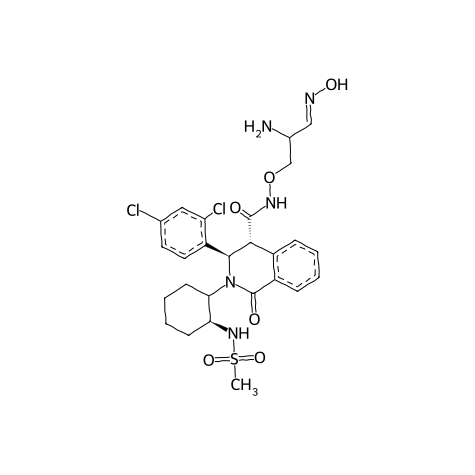 CS(=O)(=O)N[C@H]1CCCCC1N1C(=O)c2ccccc2[C@@H](C(=O)NOCC(N)C=NO)[C@@H]1c1ccc(Cl)cc1Cl